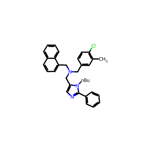 CCCCn1c(CN(Cc2ccc(Cl)c(C)c2)Cc2cccc3ccccc23)cnc1-c1ccccc1